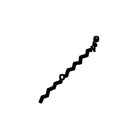 CCCCCCCOCCCCCCCCN=C=O